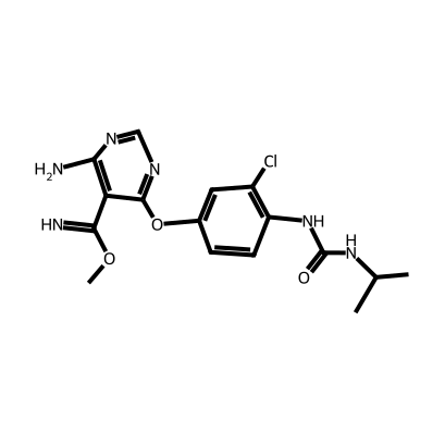 COC(=N)c1c(N)ncnc1Oc1ccc(NC(=O)NC(C)C)c(Cl)c1